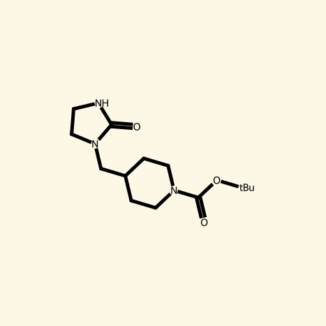 CC(C)(C)OC(=O)N1CCC(CN2CCNC2=O)CC1